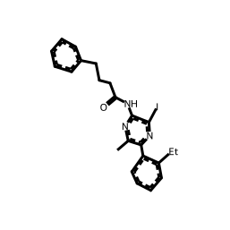 CCc1ccccc1-c1nc(I)c(NC(=O)CCCc2ccccc2)nc1C